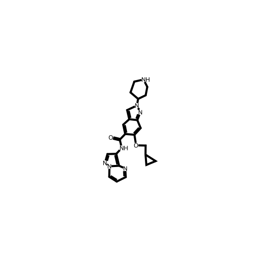 O=C(Nc1cnn2cccnc12)c1cc2cn(C3CCNCC3)nc2cc1OCC1CC1